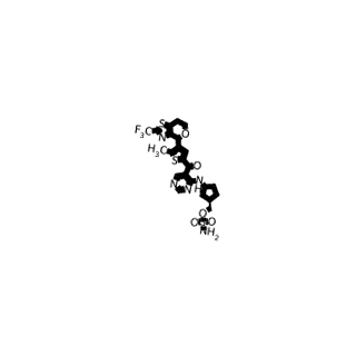 Cc1sc(C(=O)c2cncnc2NC2CC[C@@H](COS(N)(=O)=O)C2)cc1C1OCCc2sc(C(F)(F)F)nc21